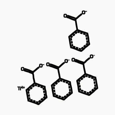 O=C([O-])c1ccccc1.O=C([O-])c1ccccc1.O=C([O-])c1ccccc1.O=C([O-])c1ccccc1.[Ti+4]